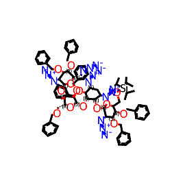 CC(C)[Si](OCC1O[C@H](O[C@@H]2C(N=[N+]=[N-])C[C@@H](N=[N+]=[N-])C(OCc3ccccc3)[C@H]2O[C@@H]2O[C@H](COCc3ccccc3)[C@H](O[C@H]3O[C@@H](CN=[N+]=[N-])[C@@H](OCc4ccccc4)C(OCc4ccccc4)C3N=[N+]=[N-])C2OCc2ccccc2)C(N=[N+]=[N-])[C@H](OCc2ccccc2)[C@@H]1OCc1ccccc1)(C(C)C)C(C)C